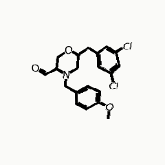 COc1ccc(CN2CC(Cc3cc(Cl)cc(Cl)c3)OCC2C=O)cc1